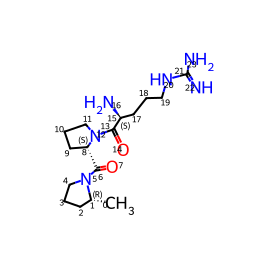 C[C@@H]1CCCN1C(=O)[C@@H]1CCCN1C(=O)[C@@H](N)CCCNC(=N)N